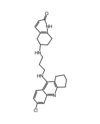 O=c1ccc2c([nH]1)CCC(NCCCNc1c3c(nc4cc(Cl)ccc14)CCCC3)C2